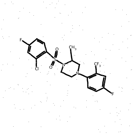 CC1CN(c2ccc(F)cc2C(F)(F)F)CCN1S(=O)(=O)c1ccc(F)cc1Cl